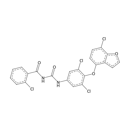 O=C(NC(=O)c1ccccc1Cl)Nc1cc(Cl)c(Oc2ccc(Cl)c3occc23)c(Cl)c1